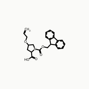 C=CCOC1CC(C(=O)O)N(C(=O)OCC2c3ccccc3-c3ccccc32)C1